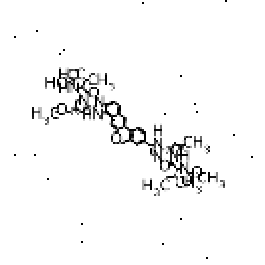 CCC(C)C(NC(=O)OC)C(=O)N1C[C@@H](C)C[C@H]1c1ncc(-c2ccc3c(c2)COc2cc4c(ccc5nc([C@@H]6C[C@H](COC)CN6C(=O)C(NC(=O)O)C(C)C)[nH]c54)cc2-3)[nH]1